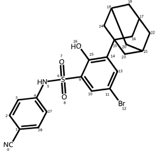 N#Cc1ccc(NS(=O)(=O)c2cc(Br)cc(C34CC5CC(CC(C5)C3)C4)c2O)cc1